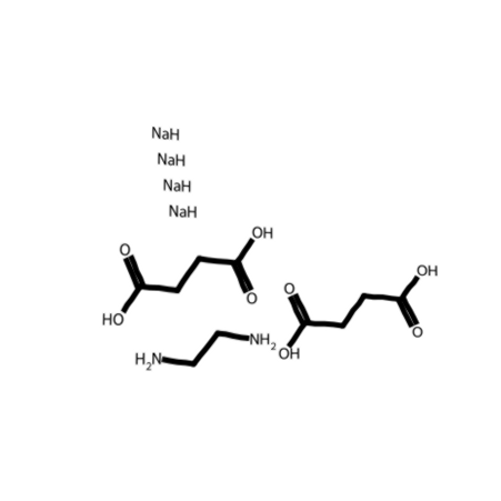 NCCN.O=C(O)CCC(=O)O.O=C(O)CCC(=O)O.[NaH].[NaH].[NaH].[NaH]